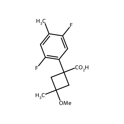 COC1(C)CC(C(=O)O)(c2cc(F)c(C)cc2F)C1